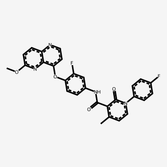 COc1ccc2nccc(Oc3ccc(NC(=O)c4c(C)ccn(-c5ccc(F)cc5)c4=O)cc3F)c2n1